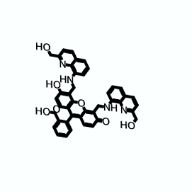 O=C(O)c1ccccc1-c1c2ccc(=O)c(CNc3cccc4ccc(CO)nc34)c-2oc2c(CNc3cccc4ccc(CO)nc34)c(O)ccc12